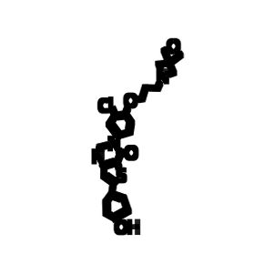 O=c1c2sc(-c3ccc(O)cc3)cc2ncn1-c1ccc(OCCCN2CC3(COC3)C2)c(Cl)c1